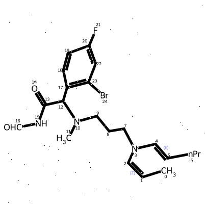 C/C=C\N(/C=C/CCC)CCCN(C)C(C(=O)NC=O)c1ccc(F)cc1Br